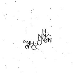 Cc1ccc(C(=O)NC2CC2)cc1-c1ccc2nc(N[C@H](C(=O)N(C)C)C(C)C)ncc2c1